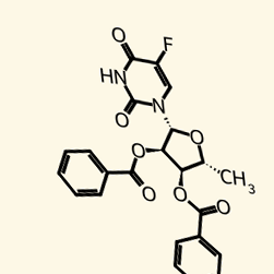 C[C@H]1O[C@@H](n2cc(F)c(=O)[nH]c2=O)[C@H](OC(=O)c2ccccc2)[C@@H]1OC(=O)c1ccccc1